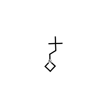 CC(C)(C)CCN1CCC1